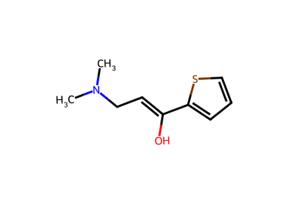 CN(C)C/C=C(\O)c1cccs1